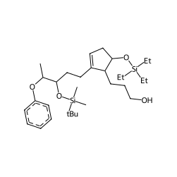 CC[Si](CC)(CC)OC1CC=C(CCC(O[Si](C)(C)C(C)(C)C)C(C)Oc2ccccc2)C1CCCO